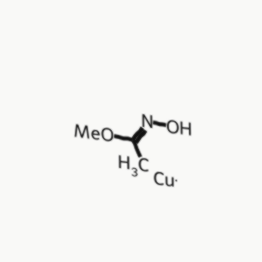 COC(C)=NO.[Cu]